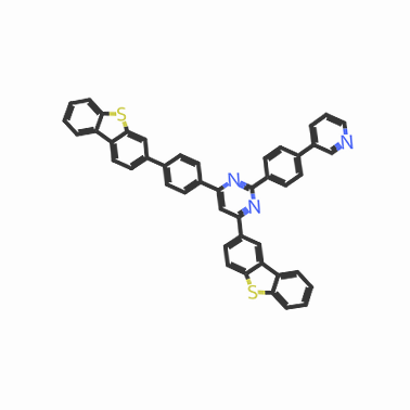 c1cncc(-c2ccc(-c3nc(-c4ccc(-c5ccc6c(c5)sc5ccccc56)cc4)cc(-c4ccc5sc6ccccc6c5c4)n3)cc2)c1